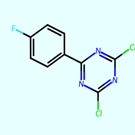 Fc1ccc(-c2nc(Cl)nc(Cl)n2)cc1